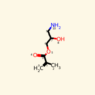 C=C(C)C(=O)OCC(O)CN